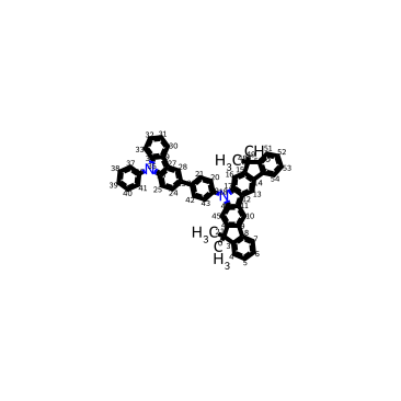 CC1(C)c2ccccc2-c2cc3c4cc5c(cc4n(-c4ccc(-c6ccc7c(c6)c6ccccc6n7-c6ccccc6)cc4)c3cc21)C(C)(C)c1ccccc1-5